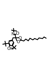 CCCCCCCCCCCC(=O)OCC(C)(Cc1cc(C(C)(C)C)c(O)c(C(C)(C)C)c1)C1=NC(C)(C)CO1